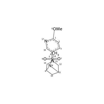 COc1ccc(S(=O)(=O)N2C3CC2CN(C)C3)cn1